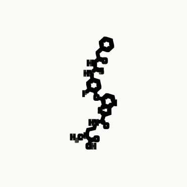 CN(CCNC(=O)c1cc2nccc(Oc3ccc(NC(=S)NC(=O)Cc4ccccc4)cc3F)c2s1)C(=O)O